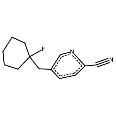 N#Cc1ccc(CC2(F)CCCCC2)cn1